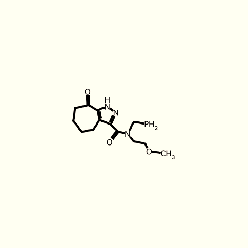 COCCN(CP)C(=O)c1n[nH]c2c1CCCCC2=O